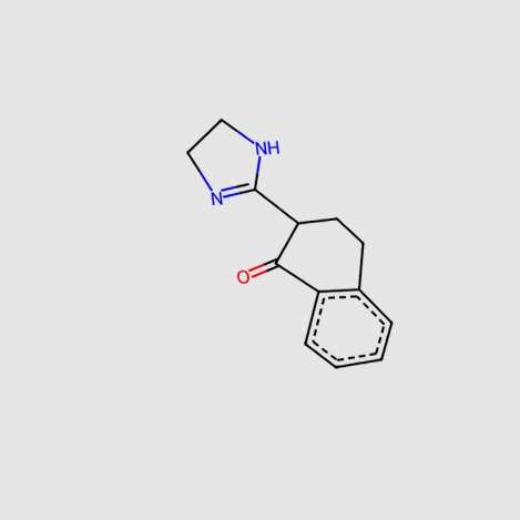 O=C1c2ccccc2CCC1C1=NCCN1